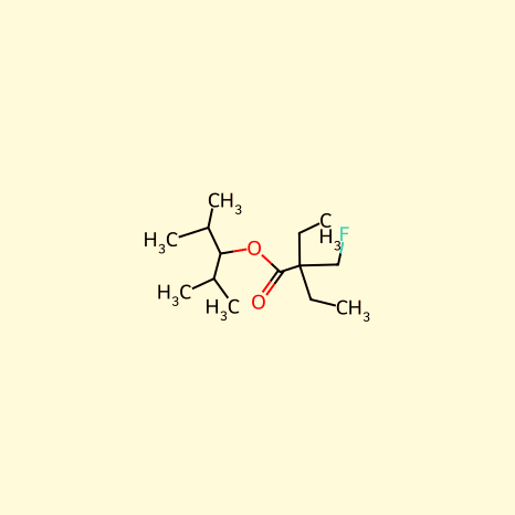 CCC(CC)(CF)C(=O)OC(C(C)C)C(C)C